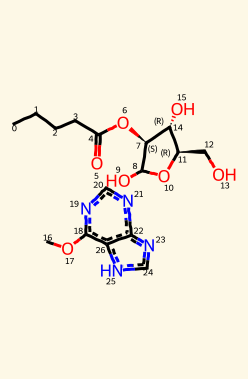 CCCCC(=O)O[C@@H]1C(O)O[C@H](CO)[C@H]1O.COc1ncnc2nc[nH]c12